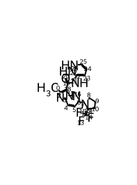 Cc1nc2ccc(N3CCC[C@H]3C(F)(F)F)nn2c1C(=O)NC1=CC=CNN1